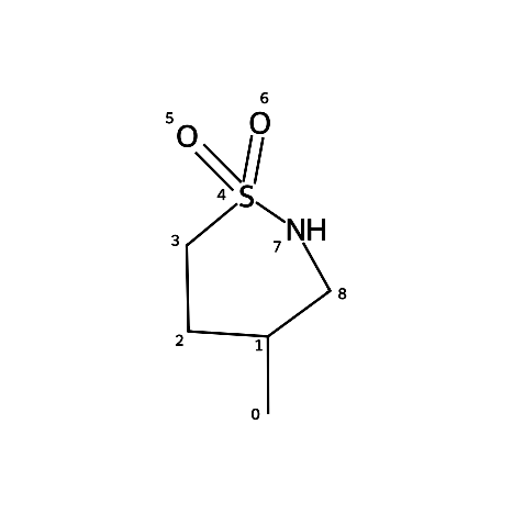 CC1CCS(=O)(=O)NC1